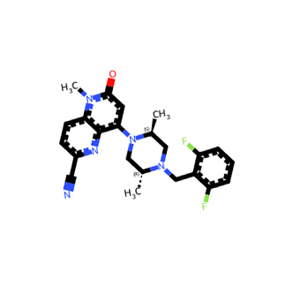 C[C@@H]1CN(c2cc(=O)n(C)c3ccc(C#N)nc23)[C@@H](C)CN1Cc1c(F)cccc1F